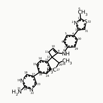 Cc1nc(-c2ccc(NC3=CCC3(c3ccc(-c4cnc(N)nc4)cc3)C(C)C)cc2)cs1